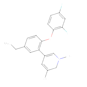 CSCc1ccc(Oc2ccc(F)cc2F)c(C2=CN(C)CC(C)=C2)c1